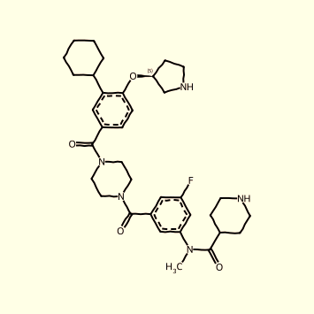 CN(C(=O)C1CCNCC1)c1cc(F)cc(C(=O)N2CCN(C(=O)c3ccc(O[C@H]4CCNC4)c(C4CCCCC4)c3)CC2)c1